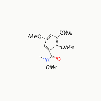 COc1cc(OC)c(OC)c(C(=O)N(C)OC)c1